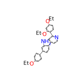 CCOc1ccc(-c2ccc(-c3ccnc(-c4ccc(OCC)cc4OCC)c3)c(N)c2)cc1